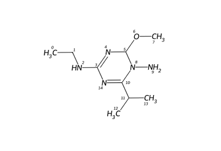 CCNC1=NC(OC)N(N)C(C(C)C)=N1